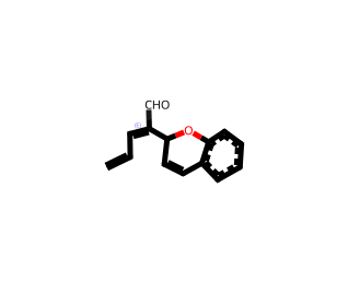 C=C/C=C(/C=O)C1C=Cc2ccccc2O1